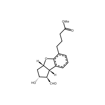 COC(=O)CCCc1cccc2c1O[C@H]1C[C@@H](O)[C@H](C=O)[C@@H]21